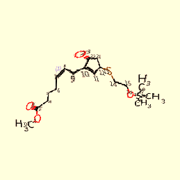 COC(=O)CCC/C=C\CC1=CC(SCCO[Si](C)(C)C)CC1=O